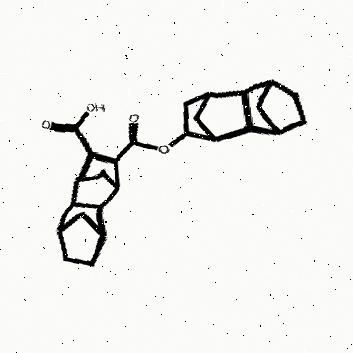 O=C(O)C1C2CC(C1C(=O)OC1CC3CC1C1C4CCC(C4)C31)C1C3CCC(C3)C21